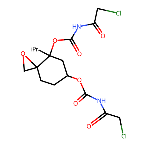 CC(C)C1(OC(=O)NC(=O)CCl)CC(OC(=O)NC(=O)CCl)CCC12CO2